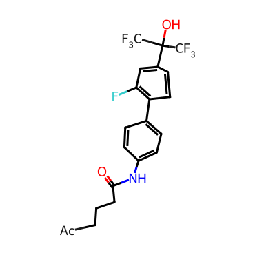 CC(=O)CCCC(=O)Nc1ccc(-c2ccc(C(O)(C(F)(F)F)C(F)(F)F)cc2F)cc1